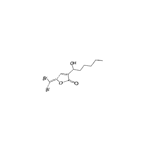 CCCCCC(O)C1=CC(=C(Br)Br)OC1=O